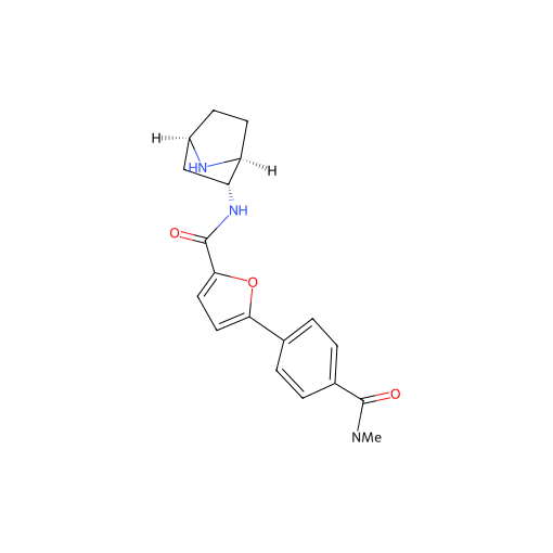 CNC(=O)c1ccc(-c2ccc(C(=O)N[C@@H]3C[C@H]4CC[C@@H]3N4)o2)cc1